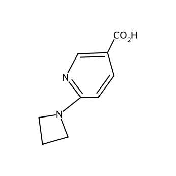 O=C(O)c1ccc(N2CCC2)nc1